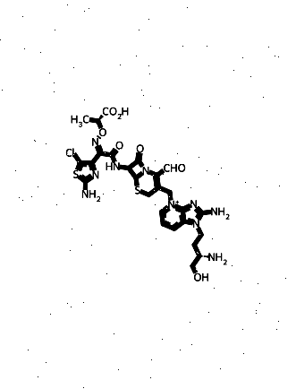 C[C@H](O/N=C(\C(=O)NC1C(=O)N2C(C=O)=C(C[n+]3cccc4c3nc(N)n4CC[C@H](N)CO)CSC12)c1nc(N)sc1Cl)C(=O)O